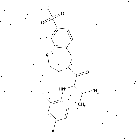 CC(C)C(Nc1ccc(F)cc1F)C(=O)N1CCOc2cc(S(C)(=O)=O)ccc2C1